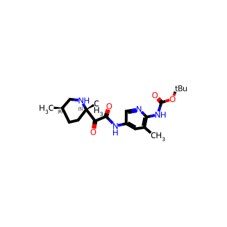 Cc1cc(NC(=O)C(=O)[C@]2(C)CC[C@@H](C)CN2)cnc1NC(=O)OC(C)(C)C